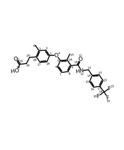 Cc1cc(Oc2cccc(C(=O)NCc3ccc(C(F)(F)F)cc3)c2C)ccc1CCC(=O)O